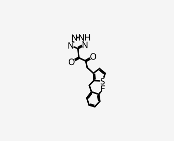 O=C(Cc1ccsc1Cc1ccccc1F)C(=O)c1nn[nH]n1